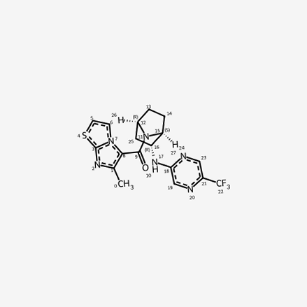 Cc1nc2sccn2c1C(=O)N1[C@@H]2CC[C@H]1[C@H](Nc1cnc(C(F)(F)F)cn1)C2